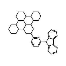 c1cc(C2CC3C4CCCCC4C4CCCC5C6CCCCC6C(C2)C3C45)nc(-n2c3ccccc3c3ccccc32)c1